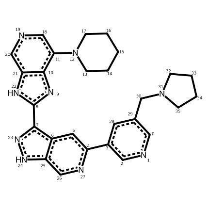 c1ncc(-c2cc3c(-c4nc5c(N6CCCCC6)cncc5[nH]4)n[nH]c3cn2)cc1CN1CCCC1